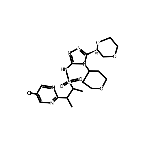 CC(c1ncc(Cl)cn1)C(C)S(=O)(=O)Nc1nnc([C@@H]2COCCO2)n1C1CCOCC1